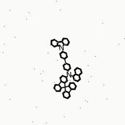 c1ccc2c(c1)-c1ccccc1C21c2ccccc2-c2ccc(N(c3ccc(-c4ccc(-n5c6ccccc6c6ccccc65)cc4)cc3)c3cccc4ccccc34)cc21